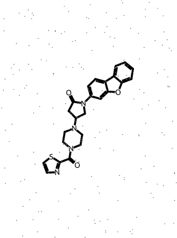 O=C(c1nccs1)N1CCN(C2CC(=O)N(c3ccc4c(c3)oc3ccccc34)C2)CC1